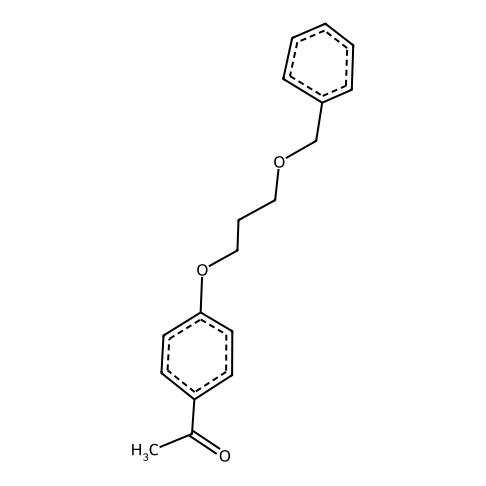 CC(=O)c1ccc(OCCCOCc2ccccc2)cc1